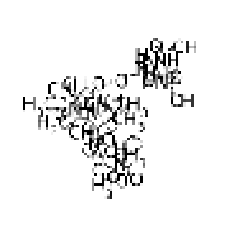 C#CC(=O)NNP(=O)(NCCOCCOCCC(=O)N(C)C(C(=O)NC(C(=O)N(C)C(C(C)CC)C(CC(=O)N1CCC[C@H]1C(OC)C(C)C(=O)NC(Cc1ccccc1)C(=O)O)OC)C(C)C)C(C)C)NNC(=O)C#C